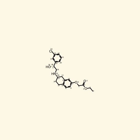 CCOC(=O)COc1ccc2c(c1)C[C@H](NC[C@H](O)c1cccc(Cl)c1)CC2